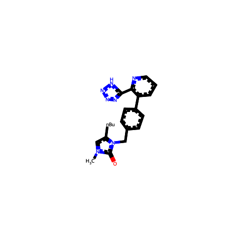 CCCCc1cn(C)c(=O)n1Cc1ccc(-c2cccnc2-c2nnn[nH]2)cc1